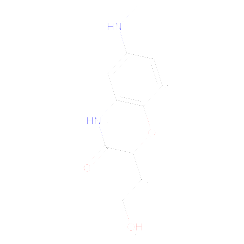 CNc1ccc2c(c1)NC(=O)C(CCO)O2